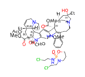 CC[C@]1(O)C[C@H]2C[N@](CCc3c([nH]c4ccccc34)[C@@](C(=O)OC)(c3cc4c(cc3OC)N(C=O)[C@H]3[C@@](O)(C(=O)OC)[C@H](OC(C)=O)[C@]5(CC)C=CCN6CC[C@]43[C@@H]65)C2)C1.O=P1(NCCCl)OCCCN1CCCl